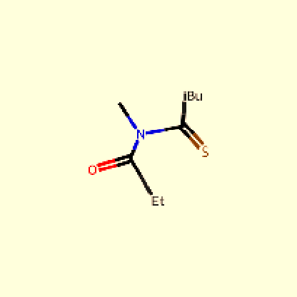 CCC(=O)N(C)C(=S)C(C)CC